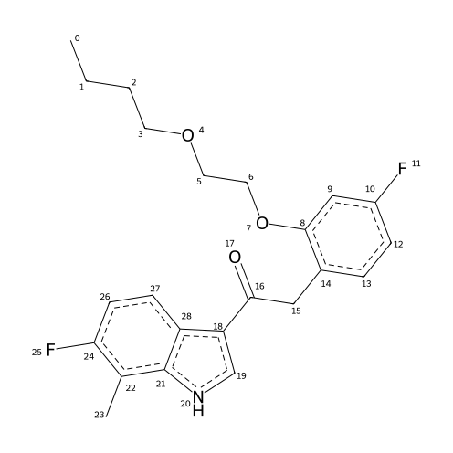 CCCCOCCOc1cc(F)ccc1CC(=O)c1c[nH]c2c(C)c(F)ccc12